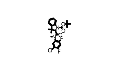 CN(C(=O)C1N(C(=O)OC(C)(C)C)c2ccccc2C1(C)C)c1cc(Cl)c(F)cc1F